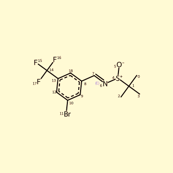 CC(C)(C)[S+]([O-])/N=C/c1cc(Br)cc(C(F)(F)F)c1